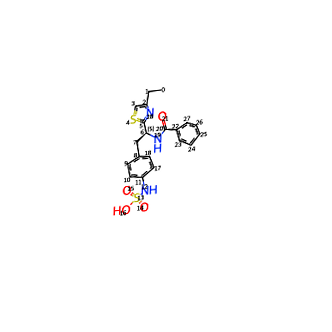 CCc1csc([C@H](Cc2ccc(NS(=O)(=O)O)cc2)NC(=O)c2ccccc2)n1